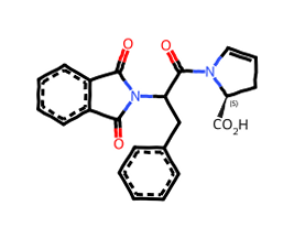 O=C(O)[C@@H]1CC=CN1C(=O)C(Cc1ccccc1)N1C(=O)c2ccccc2C1=O